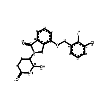 O=C1CCC(N2Cc3c(OCc4cccc(Cl)c4Cl)cccc3C2=O)C(O)N1